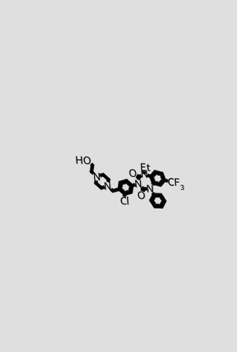 CCN1C(=O)N(c2ccc(CN3CCN(CCO)CC3)c(Cl)c2)C(=O)N(c2ccccc2)c2cc(C(F)(F)F)ccc21